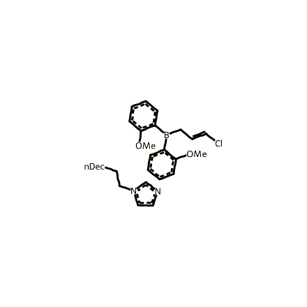 CCCCCCCCCCCCn1ccnc1.COc1ccccc1B(CC=CCl)c1ccccc1OC